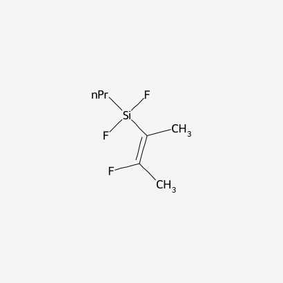 CCC[Si](F)(F)C(C)=C(C)F